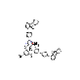 C/C=C(\C=C1\Sc2cc(Br)cc3c2N2C1=CSc1cc(-c4ccc(-c5cccc6c5oc5ccccc56)cc4)cc(c12)S3)c1ccc(-c2cccc3c2oc2ccccc23)cc1